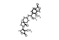 CC1=C(N2CCC3(CCN(CC(N)c4ccc5c(c4C)COC5=O)CC3)C2=O)COC1=O